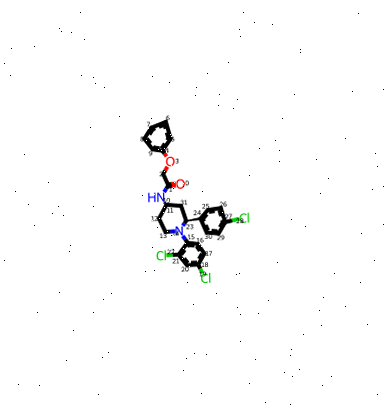 O=C(COc1ccccc1)N[C@@H]1CCN(c2ccc(Cl)cc2Cl)[C@H](c2ccc(Cl)cc2)C1